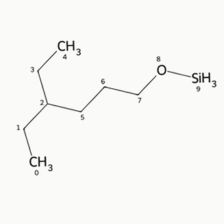 CCC(CC)CCCO[SiH3]